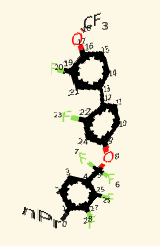 CCCc1ccc(C(F)(F)Oc2ccc(-c3ccc(OC(F)(F)F)c(F)c3)c(F)c2)c(F)c1F